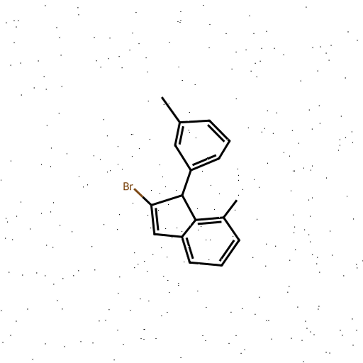 Cc1cccc(C2C(Br)=Cc3cccc(C)c32)c1